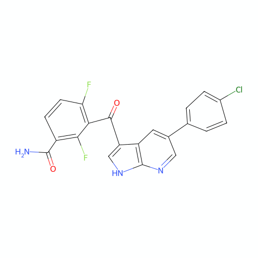 NC(=O)c1ccc(F)c(C(=O)c2c[nH]c3ncc(-c4ccc(Cl)cc4)cc23)c1F